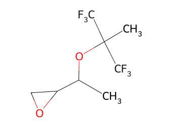 CC(OC(C)(C(F)(F)F)C(F)(F)F)C1CO1